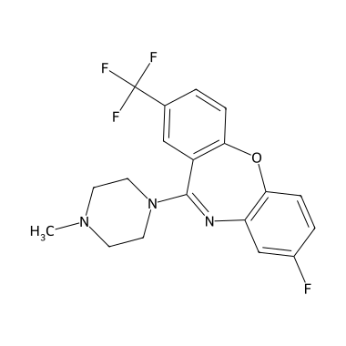 CN1CCN(C2=Nc3cc(F)ccc3Oc3ccc(C(F)(F)F)cc32)CC1